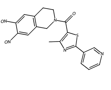 Cc1nc(-c2cccnc2)sc1C(=O)N1CCc2cc(N=O)c(N=O)cc2C1